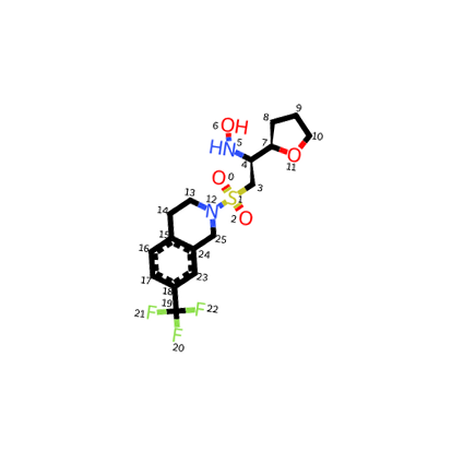 O=S(=O)(C[C@@H](NO)[C@H]1CCCO1)N1CCc2ccc(C(F)(F)F)cc2C1